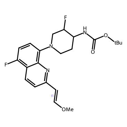 CO/C=C/c1ccc2c(F)ccc(N3CCC(NC(=O)OC(C)(C)C)C(F)C3)c2n1